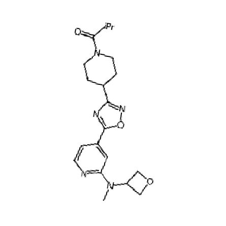 CC(C)C(=O)N1CCC(c2noc(-c3ccnc(N(C)C4COC4)c3)n2)CC1